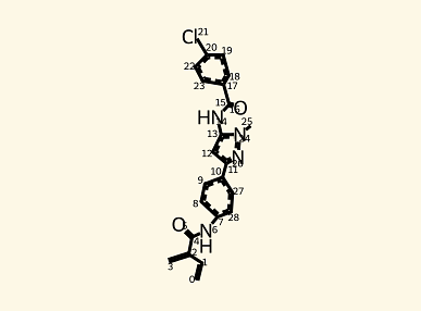 C=CC(=C)C(=O)Nc1ccc(-c2cc(NC(=O)c3ccc(Cl)cc3)n(C)n2)cc1